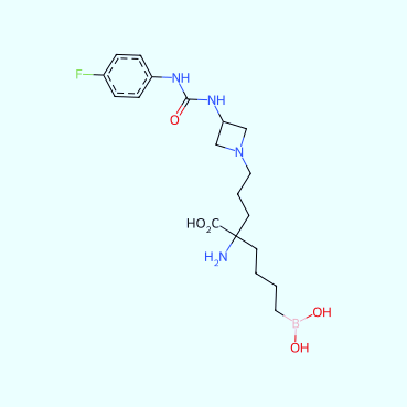 NC(CCCCB(O)O)(CCCN1CC(NC(=O)Nc2ccc(F)cc2)C1)C(=O)O